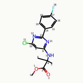 COC(=O)C(C)(C)Nc1cc(Cl)nc(-c2ccc(F)cc2)n1